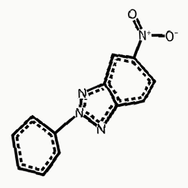 O=[N+]([O-])c1ccc2nn(-c3ccccc3)nc2c1